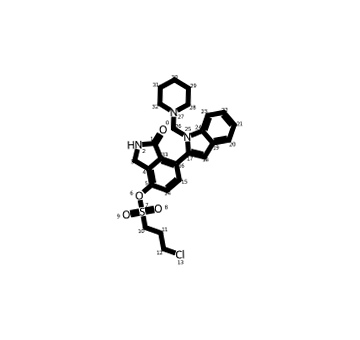 O=C1NCc2c(OS(=O)(=O)CCCCl)ccc(-c3cc4ccccc4n3CN3CCCCC3)c21